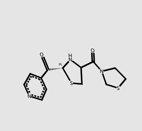 O=C(c1ccncc1)[C@@H]1NC(C(=O)N2CCSC2)CS1